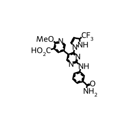 COc1ncc(-c2cnc(Nc3cccc(C(N)=O)c3)nc2N2C=CC(C(F)(F)F)N2)cc1C(=O)O